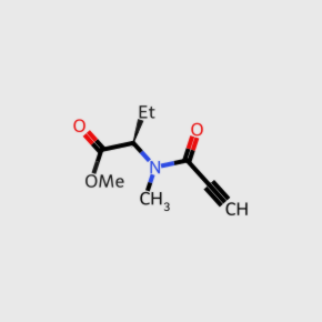 C#CC(=O)N(C)[C@H](CC)C(=O)OC